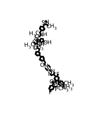 Cc1ncsc1-c1ccc([C@H](C)NC(=O)[C@@H]2C[C@@H](O)CN2C(=O)[C@@H](NC(=O)Cc2cccc(-c3ccc(CC(=O)N4CCN(c5ncc(-c6cc(NC(=O)c7ccc(F)cc7C(F)(F)F)c(N7C[C@@H](C)N(C)[C@@H](C)C7)cc6F)cn5)CC4)cc3)c2)C(C)(C)C)cc1